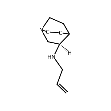 C=CCN[C@H]1CN2CCC1CC2